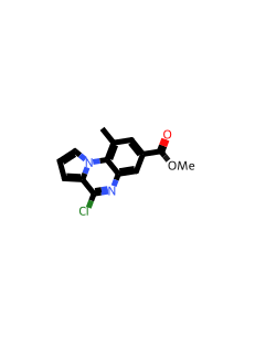 COC(=O)c1cc(C)c2c(c1)nc(Cl)c1cccn12